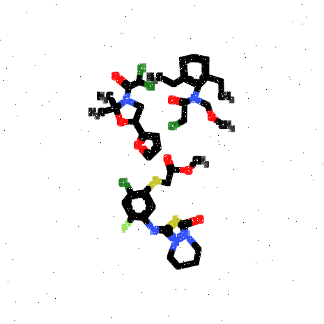 CC1(C)OC(c2ccco2)CN1C(=O)C(Cl)Cl.CCc1cccc(CC)c1N(COC)C(=O)CCl.COC(=O)CSc1cc(/N=c2\sc(=O)n3n2CCCC3)c(F)cc1Cl